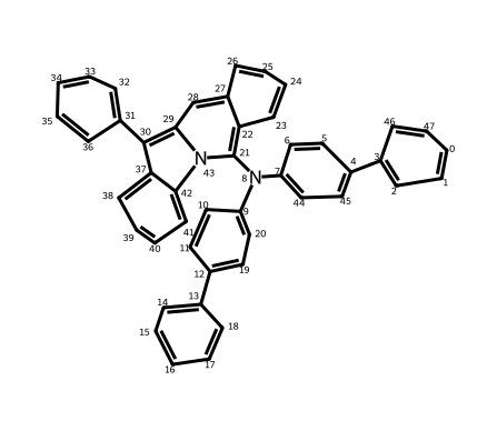 c1ccc(-c2ccc(N(c3ccc(-c4ccccc4)cc3)c3c4ccccc4cc4c(-c5ccccc5)c5ccccc5n34)cc2)cc1